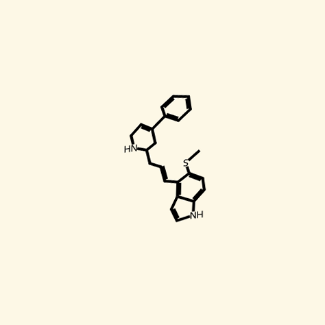 CSc1ccc2[nH]ccc2c1C=CCC1CC(c2ccccc2)=CCN1